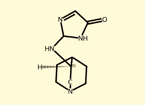 O=C1C=NC(N[C@@H]2CN3CCC2CC3)N1